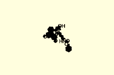 COc1ccc(C(OCC2CC(O)CN2C(=O)CCCCCNC(=O)OCc2ccccc2)(c2ccccc2)c2ccc(OC)cc2)cc1